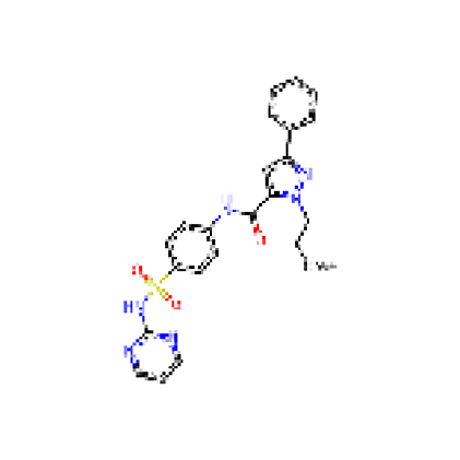 COCCn1nc(-c2ccccc2)cc1C(=O)Nc1ccc(S(=O)(=O)Nc2ncccn2)cc1